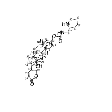 C[C@]12CC[C@H](OC(=O)NCC3CCCCN3)C[C@H]1CC[C@@H]1[C@@H]2CC[C@]2(C)[C@@H](c3ccc(=O)oc3)CC[C@]12O